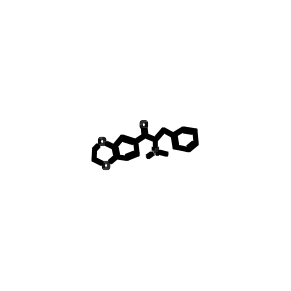 CN(C)C(Cc1ccccc1)C(=O)c1ccc2c(c1)OCCO2